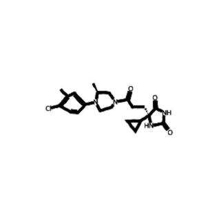 Cc1cc(N2CCN(C(=O)CC[C@@]3(C4CC4)NC(=O)NC3=O)C[C@@H]2C)ccc1Cl